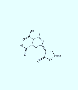 CC1=CC(=C2CC(=O)OC2=O)CC(C(=O)O)C1C(=O)O